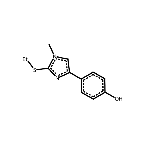 CCSc1nc(-c2ccc(O)cc2)cn1C